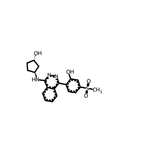 CS(=O)(=O)c1ccc(-c2nnc(N[C@H]3CC[C@H](O)C3)c3ccccc23)c(O)c1